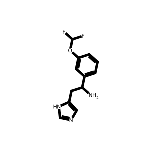 NC(Cc1cnc[nH]1)c1cccc(OC(F)F)c1